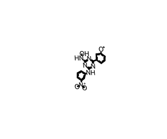 COc1cccc(-c2nc(NO)nc(Nc3cccc([N+](=O)[O-])c3)n2)c1